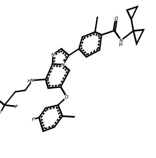 Cc1ccc(F)cc1Oc1cc(NCCC(F)(F)F)c2ncc(-c3ccc(C(=O)NC4(C5CC5)CC4)c(C)c3)n2c1